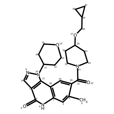 Cc1cc2[nH]c(=O)c3cnn(C4CCOCC4)c3c2cc1C(=O)N1CCC(OCC2CC2)CC1